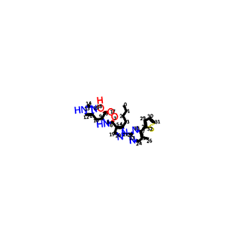 CCCCc1c(C(=O)NC(Cc2c[nH]cn2)C(=O)O)cnn1-c1ncc(C)c(-c2cccs2)n1